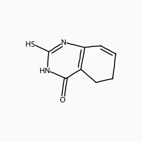 O=c1[nH]c(S)nc2c1CCC=C2